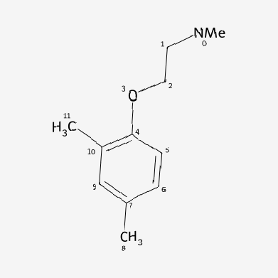 CNCCOc1ccc(C)cc1C